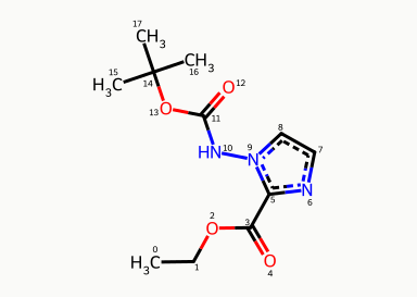 CCOC(=O)c1nccn1NC(=O)OC(C)(C)C